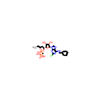 CCCCC(OP(=O)(O)CP(=O)(O)O)[C@H]1O[C@@H](n2cnc3c(NCc4ccccc4)nc(Cl)nc32)[C@H](O)[C@@H]1O